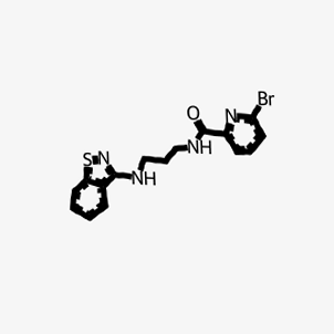 O=C(NCCCNc1nsc2ccccc12)c1cccc(Br)n1